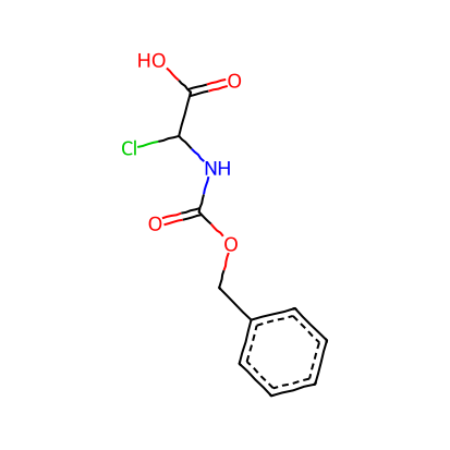 O=C(NC(Cl)C(=O)O)OCc1ccccc1